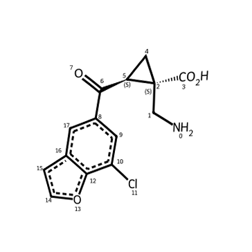 NC[C@]1(C(=O)O)C[C@@H]1C(=O)c1cc(Cl)c2occc2c1